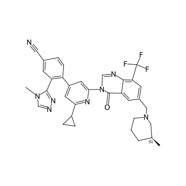 C[C@H]1CCCN(Cc2cc(C(F)(F)F)c3ncn(-c4cc(-c5ccc(C#N)cc5-c5nncn5C)cc(C5CC5)n4)c(=O)c3c2)C1